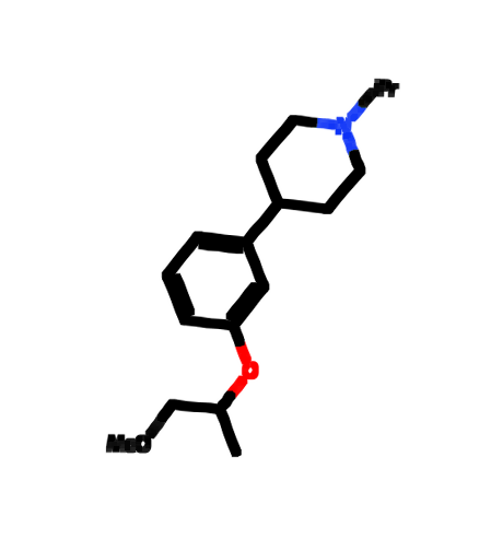 COCC(C)Oc1cccc(C2CCN(C(C)C)CC2)c1